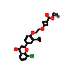 COC(=O)C1CC(OCCOc2ccc(-c3cc(=O)c4cccc(Cl)c4o3)cc2C2CC2)C1